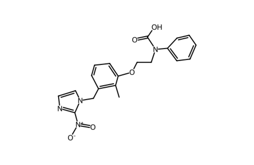 Cc1c(Cn2ccnc2[N+](=O)[O-])cccc1OCCN(C(=O)O)c1ccccc1